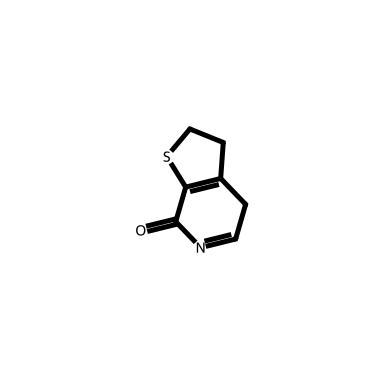 O=C1N=CCC2=C1SCC2